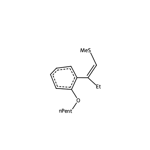 CCCCCOc1ccccc1/C(=C\SC)CC